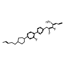 C=C/C=C(CCC)\C(F)=C(\F)Cc1ccc(-c2ccc(C3CCC(CC/C=C/C)CC3)cc2F)cc1